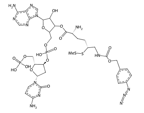 CSS[C@H](CC[C@@H](N)C(=O)OC1C(COP(=O)(O)O[C@H]2C[C@H](n3ccc(N)nc3=O)O[C@@H]2COP(=O)(O)O)OC(n2cnc3c(N)ncnc32)C1O)CNC(=O)OCc1ccc(N=[N+]=[N-])cc1